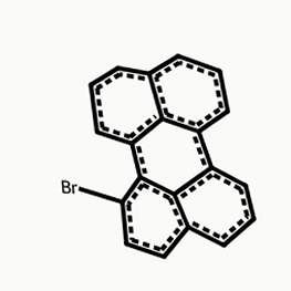 Brc1ccc2cccc3c4cccc5cccc(c1c23)c54